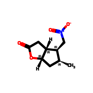 C[C@@H]1C[C@@H]2OC(=O)C[C@@H]2[C@H]1C[N+](=O)[O-]